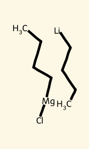 CCC[CH2][Mg][Cl].[Li][CH2]CCC